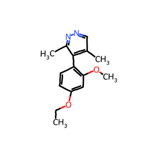 CCOc1ccc(-c2c(C)cnnc2C)c(OC)c1